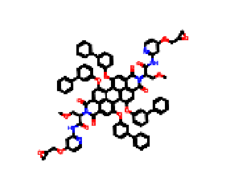 COCC(C(=O)Nc1cc(OCC2CO2)ccn1)N1C(=O)c2cc(Oc3cccc(-c4ccccc4)c3)c3c4c(Oc5cccc(-c6ccccc6)c5)cc5c6c(cc(Oc7cccc(-c8ccccc8)c7)c(c7c(Oc8cccc(-c9ccccc9)c8)cc(c2c37)C1=O)c64)C(=O)N(C(COC)C(=O)Nc1cc(OCC2CO2)ccn1)C5=O